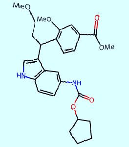 COCCC(c1ccc(C(=O)OC)cc1OC)c1c[nH]c2ccc(NC(=O)OC3CCCC3)cc12